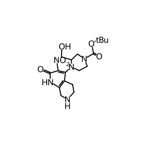 CC(C)(C)OC(=O)N1CCN(c2c3c([nH]c(=O)c2[N+](=O)[O-])CNCC3)C(CO)C1